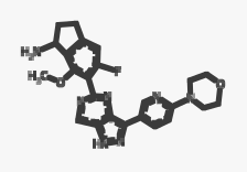 COc1c(-c2ncc3[nH]nc(-c4ccc(N5CCOCC5)nc4)c3n2)c(F)cc2c1C(N)CC2